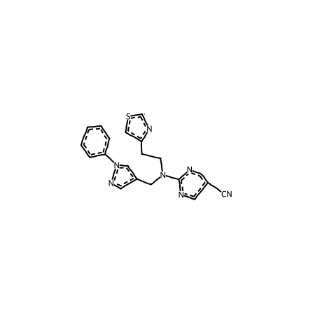 N#Cc1cnc(N(CCc2cs[c]n2)Cc2cnn(-c3ccccc3)c2)nc1